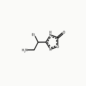 CCC(CN)c1noc(=O)[nH]1